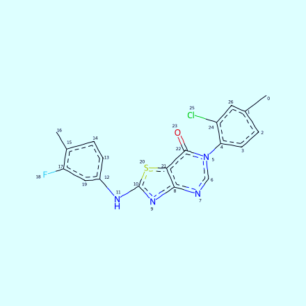 Cc1ccc(-n2cnc3nc(Nc4ccc(C)c(F)c4)sc3c2=O)c(Cl)c1